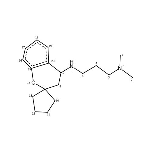 CN(C)CCCNC1CC2(CCCC2)Oc2ccccc21